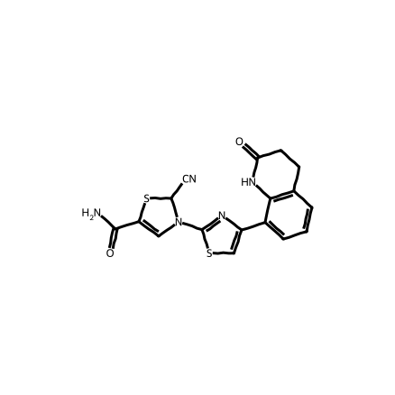 N#CC1SC(C(N)=O)=CN1c1nc(-c2cccc3c2NC(=O)CC3)cs1